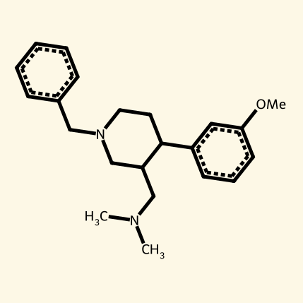 COc1cccc(C2CCN(Cc3ccccc3)CC2CN(C)C)c1